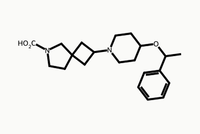 CC(OC1CCN(C2CC3(CCN(C(=O)O)C3)C2)CC1)c1ccccc1